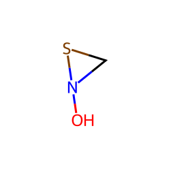 ON1CS1